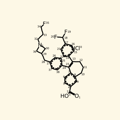 Cl.O=C(O)c1ccc2c(c1)CCCC(c1ccc(C(F)F)cc1)=C2c1ccc(CC2CN(CCCF)C2)cc1